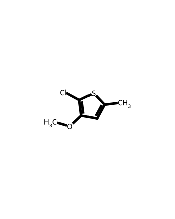 COc1cc(C)sc1Cl